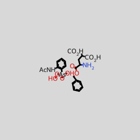 CC(=O)Nc1ccccc1[As](=O)(O)OO.NC(CC(C(=O)O)C(=O)O)C(=O)OCc1ccccc1